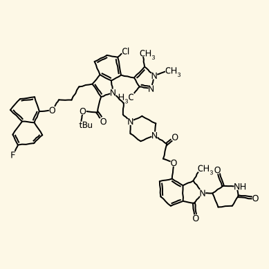 Cc1nn(C)c(C)c1-c1c(Cl)ccc2c(CCCOc3cccc4cc(F)ccc34)c(C(=O)OC(C)(C)C)n(CCN3CCN(C(=O)COc4cccc5c4C(C)N(C4CCC(=O)NC4=O)C5=O)CC3)c12